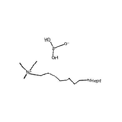 CCCCCCCCCCCC[N+](C)(C)C.[O-]B(O)O